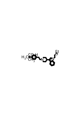 CCOCCn1cc(C2CCN(CCc3ccc(C(C)(C)C(=O)O)cc3)CC2)c2ccccc21